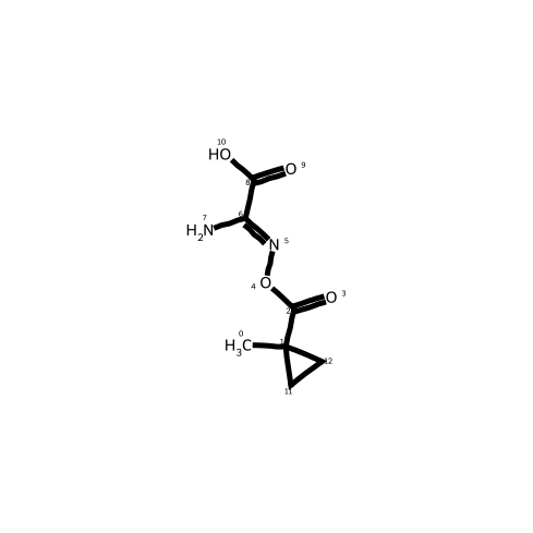 CC1(C(=O)O/N=C(\N)C(=O)O)CC1